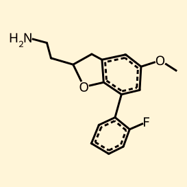 COc1cc2c(c(-c3ccccc3F)c1)OC(CCN)C2